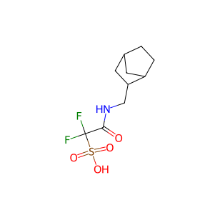 O=C(NCC1CC2CCC1C2)C(F)(F)S(=O)(=O)O